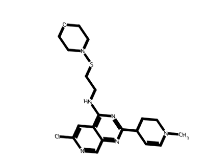 CN1C=CC(c2nc(NCCSN3CCOCC3)c3cc(Cl)ncc3n2)CC1